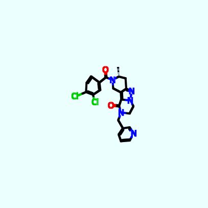 C[C@@H]1Cc2nn3c(c2CN1C(=O)c1ccc(Cl)c(Cl)c1)C(=O)N(Cc1cccnc1)CC3